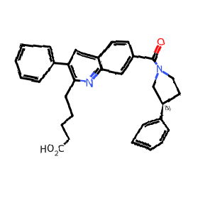 O=C(O)CCCCc1nc2cc(C(=O)N3CC[C@@H](c4ccccc4)C3)ccc2cc1-c1ccccc1